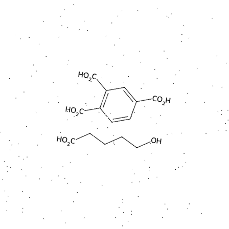 O=C(O)CCCCO.O=C(O)c1ccc(C(=O)O)c(C(=O)O)c1